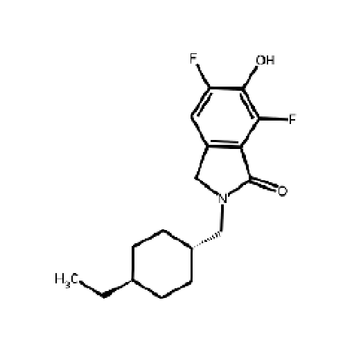 CC[C@H]1CC[C@H](CN2Cc3cc(F)c(O)c(F)c3C2=O)CC1